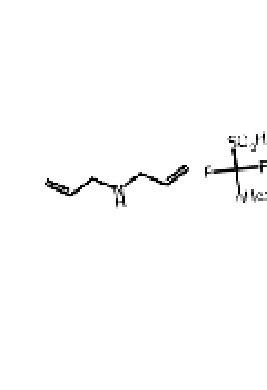 C=CCNCC=C.CCCCCCC(F)(F)S(=O)(=O)O